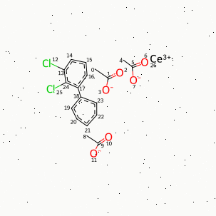 CC(=O)[O-].CC(=O)[O-].CC(=O)[O-].Clc1cccc(-c2ccccc2)c1Cl.[Ce+3]